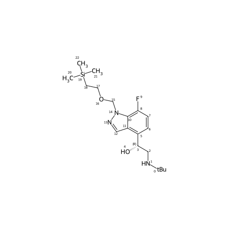 CC(C)(C)NC[C@H](O)c1ccc(F)c2c1cnn2COCC[Si](C)(C)C